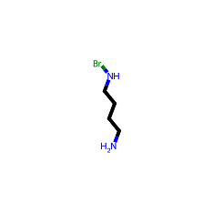 NCCCCNBr